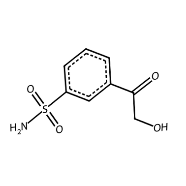 NS(=O)(=O)c1cccc(C(=O)CO)c1